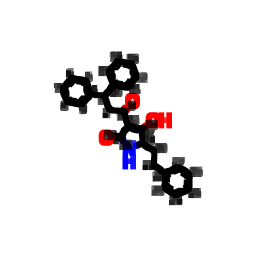 O=C(CC(c1ccccc1)c1ccccc1)C1=C(O)C(CCc2ccccc2)NC1=O